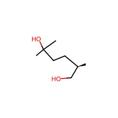 C[C@@H](CO)CCC(C)(C)O